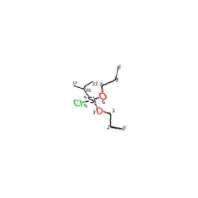 CCCO[Si](Cl)(OCCC)C(C)C